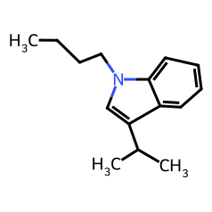 CCCCn1cc(C(C)C)c2ccccc21